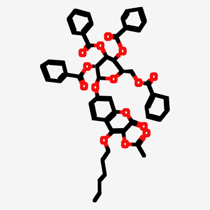 CCCCCCOc1c(OC(C)=O)c(=O)oc2cc(O[C@@H]3O[C@H](COC(=O)c4ccccc4)[C@H](OC(=O)c4ccccc4)[C@H](OC(=O)c4ccccc4)[C@H]3OC(=O)c3ccccc3)ccc12